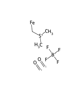 C[S+](C)[CH2][Fe].F[B-](F)(F)F.[C]=O.[C]=O